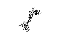 CC(C)(SCCNc1n[s+]([O-])nc1O)c1csc(NC(=N)N)n1